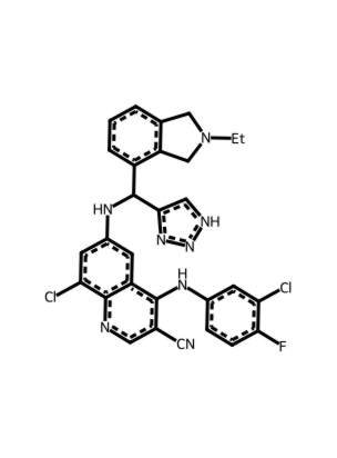 CCN1Cc2cccc(C(Nc3cc(Cl)c4ncc(C#N)c(Nc5ccc(F)c(Cl)c5)c4c3)c3c[nH]nn3)c2C1